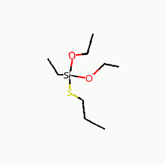 CCCS[Si](CC)(OCC)OCC